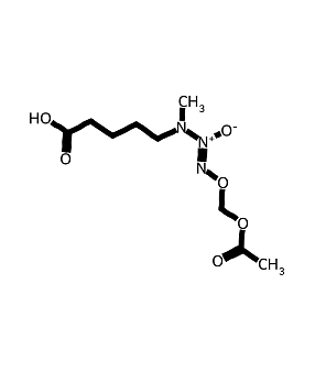 CC(=O)OCON=[N+]([O-])N(C)CCCCC(=O)O